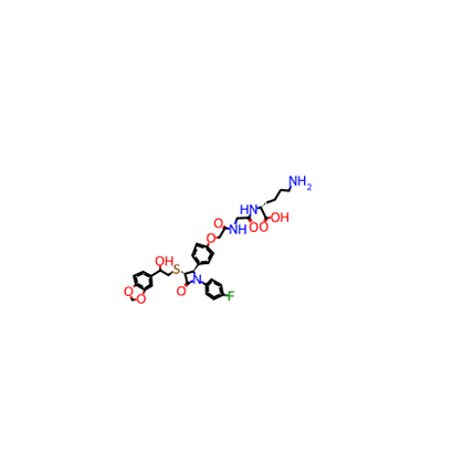 NCCCC[C@@H](NC(=O)CNC(=O)COc1ccc([C@@H]2[C@@H](SCC(O)c3ccc4c(c3)OCO4)C(=O)N2c2ccc(F)cc2)cc1)C(=O)O